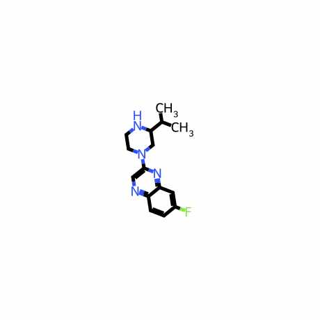 CC(C)C1CN(c2cnc3ccc(F)cc3n2)CCN1